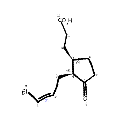 CC/C=C\C[C@@H]1C(=O)CC[C@@H]1[CH]CC(=O)O